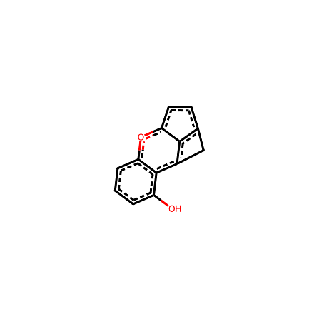 Oc1cccc2oc3ccc4c-3c(c12)C4